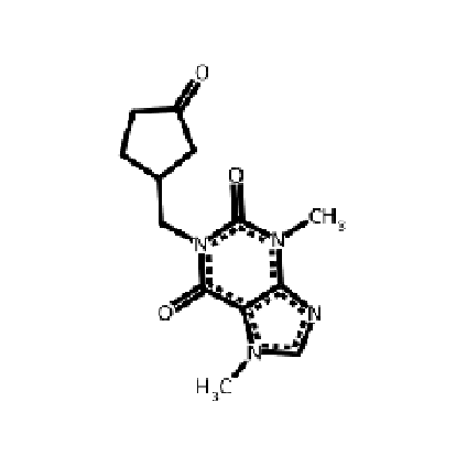 Cn1cnc2c1c(=O)n(CC1CCC(=O)C1)c(=O)n2C